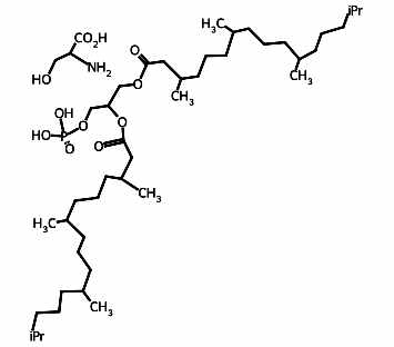 CC(C)CCCC(C)CCCC(C)CCCC(C)CC(=O)OCC(COP(=O)(O)O)OC(=O)CC(C)CCCC(C)CCCC(C)CCCC(C)C.NC(CO)C(=O)O